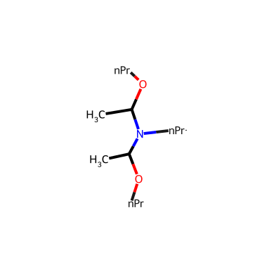 CC[CH]N(C(C)OCCC)C(C)OCCC